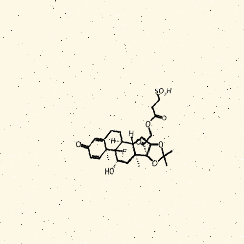 CC1(C)OC2C[C@H]3[C@@H]4CCC5=CC(=O)C=C[C@]5(C)C4(F)[C@@H](O)C[C@]3(C)[C@]2(C(=O)COC(=O)CCS(=O)(=O)O)O1